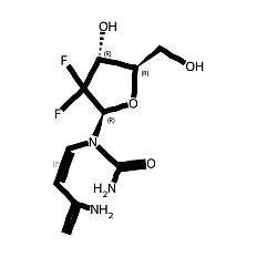 C=C(N)/C=C\N(C(N)=O)[C@@H]1O[C@H](CO)[C@@H](O)C1(F)F